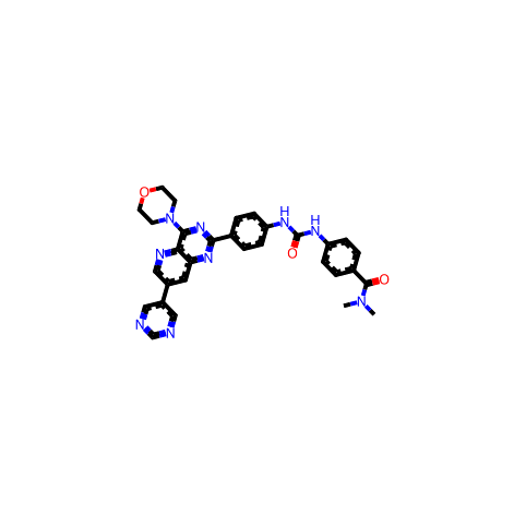 CN(C)C(=O)c1ccc(NC(=O)Nc2ccc(-c3nc(N4CCOCC4)c4ncc(-c5cncnc5)cc4n3)cc2)cc1